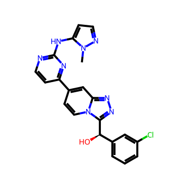 Cn1nccc1Nc1nccc(-c2ccn3c([C@H](O)c4cccc(Cl)c4)nnc3c2)n1